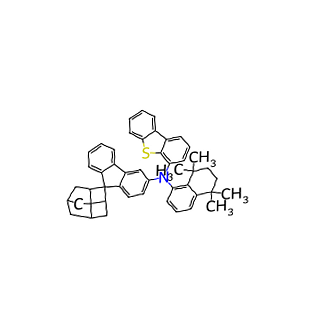 CC1(C)CCC(C)(C)c2c(N(c3ccc4c(c3)-c3ccccc3C43C4CC5CC6CC3C64C5)c3cccc4c3sc3ccccc34)cccc21